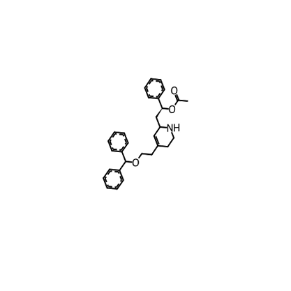 CC(=O)O[C@@H](CC1C=C(CCOC(c2ccccc2)c2ccccc2)CCN1)c1ccccc1